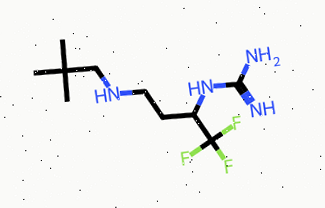 CC(C)(C)CNCCC(NC(=N)N)C(F)(F)F